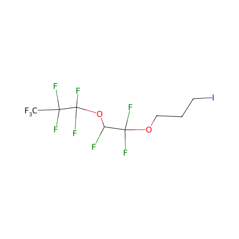 FC(OC(F)(F)C(F)(F)C(F)(F)F)C(F)(F)OCCCI